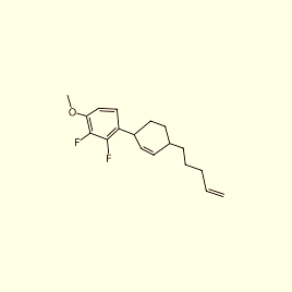 C=CCCCC1C=CC(c2ccc(OC)c(F)c2F)CC1